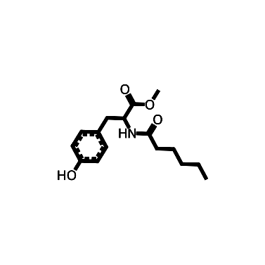 CCCCCC(=O)NC(Cc1ccc(O)cc1)C(=O)OC